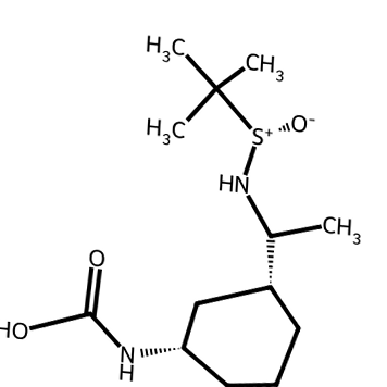 CC(N[S@@+]([O-])C(C)(C)C)[C@@H]1CCC[C@H](NC(=O)O)C1